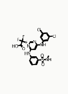 CNS(=O)(=O)c1cccc(Nc2cc(Nc3cc(Cl)cc(Cl)c3)ncn2)c1.O=C(O)C(F)(F)F